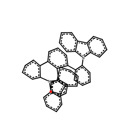 c1ccc(-c2c(-c3ccccc3-n3c4ccccc4c4ccccc43)cccc2-c2ccccc2-n2c3ccccc3c3ccccc32)cc1